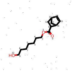 O=C(OCCCCCCCO)C1CC2C=CC1C2